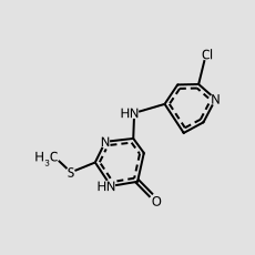 CSc1nc(Nc2ccnc(Cl)c2)cc(=O)[nH]1